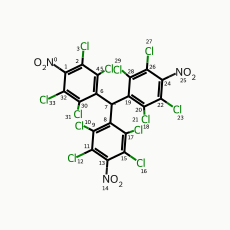 O=[N+]([O-])c1c(Cl)c(Cl)c([C](c2c(Cl)c(Cl)c([N+](=O)[O-])c(Cl)c2Cl)c2c(Cl)c(Cl)c([N+](=O)[O-])c(Cl)c2Cl)c(Cl)c1Cl